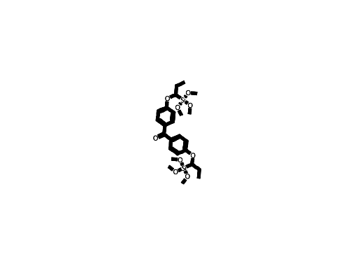 CCC(Oc1ccc(C(=O)c2ccc(OC(CC)[Si](OC)(OC)OC)cc2)cc1)[Si](OC)(OC)OC